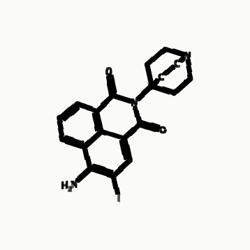 Nc1c(I)cc2c3c(cccc13)C(=O)N(C13CCN(CC1)CC3)C2=O